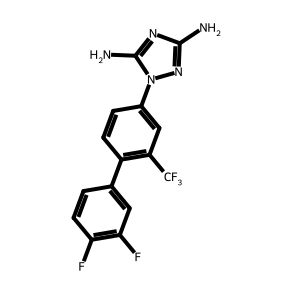 Nc1nc(N)n(-c2ccc(-c3ccc(F)c(F)c3)c(C(F)(F)F)c2)n1